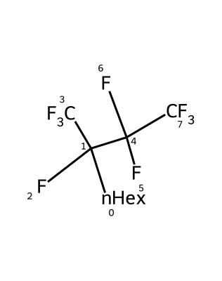 CCCC[CH]CC(F)(C(F)(F)F)C(F)(F)C(F)(F)F